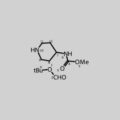 CC(C)(C)OC=O.COC(=O)NC1CCNCC1